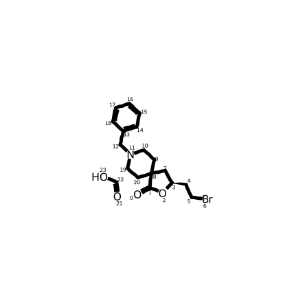 O=C1O[C@H](CCBr)CC12CCN(Cc1ccccc1)CC2.O=CO